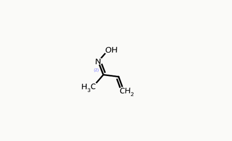 C=C/C(C)=N\O